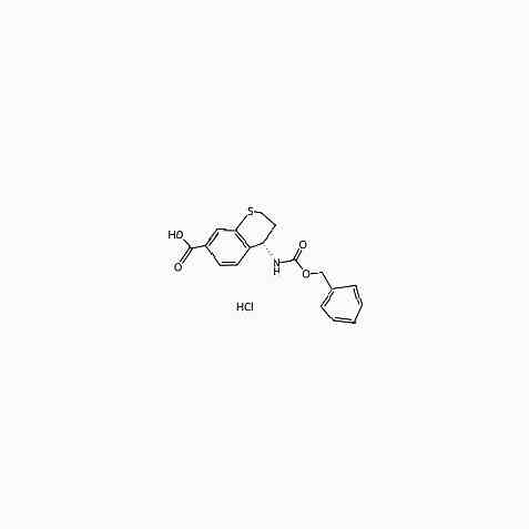 Cl.O=C(N[C@H]1CCSc2cc(C(=O)O)ccc21)OCc1ccccc1